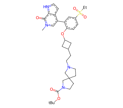 CCS(=O)(=O)c1ccc(OC2CC(CCN3CCC4(CCN(C(=O)OC(C)(C)C)C4)C3)C2)c(-c2cn(C)c(=O)c3[nH]ccc23)c1